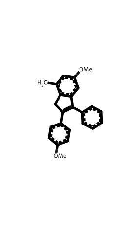 COc1ccc(C2=C(c3ccccc3)c3cc(OC)cc(C)c3C2)cc1